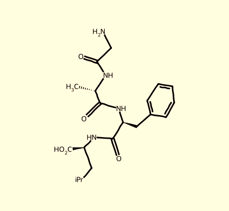 CC(C)C[C@H](NC(=O)[C@H](Cc1ccccc1)NC(=O)[C@H](C)NC(=O)CN)C(=O)O